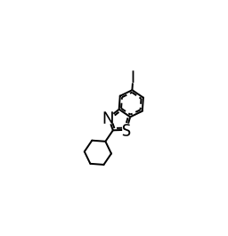 Ic1ccc2sc(C3CCCCC3)nc2c1